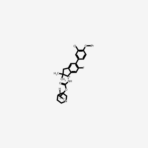 CC(C)Oc1ccc(-c2cc3c(cc2F)[C@H](NC(=O)O[C@@H]2CN4CCC2CC4)C(C)(C)C3)cc1Cl